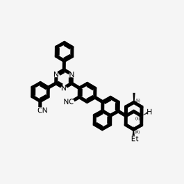 CC[C@@H]1C[C@@H]2C[C@H](C)CC(c3ccc(-c4ccc(-c5nc(-c6ccccc6)nc(-c6cccc(C#N)c6)n5)c(C#N)c4)c4ccccc34)(C1)C2